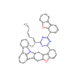 C=C/C=C\C=C(/C)c1nc(-c2cccc3c2oc2ccccc23)nc(-c2cccc3oc4cc5c6cccc7c8ccccc8n(c5cc4c23)c76)n1